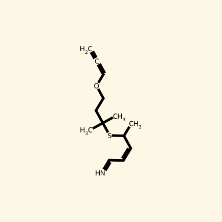 C=C=COCCC(C)(C)SC(C)/C=C\C=N